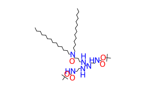 CCCCCCCCCCCCCCN(CCCCCCCCCCCCCC)C(=O)CCN/C(=N\CCNC(=O)OC(C)(C)C)NCCNC(=O)OC(C)(C)C